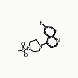 CS(=O)(=O)N1CCN(c2[c]cnc3ccc(F)cc23)CC1